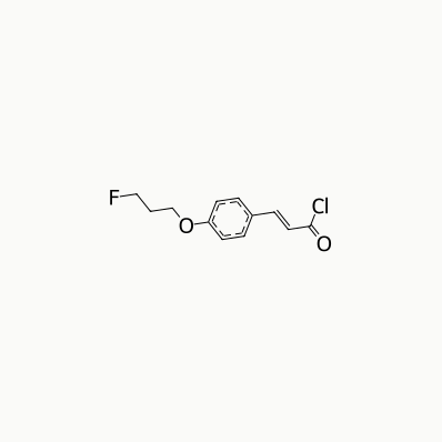 O=C(Cl)C=Cc1ccc(OCCCF)cc1